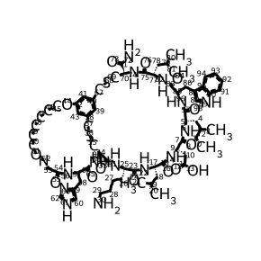 CCC(C)C[C@@H]1NC(=O)[C@H](CC(=O)O)NC(=O)[C@H](CC(C)C)NC(=O)[C@H](CCCCN)NC(=O)[C@@H]2CSCc3cc(cc(c3)OCCCCCCO/N=C/C(=O)NC(Cc3c[nH]cn3)C(=O)N2)CSC[C@@H](C(N)=O)NC(=O)[C@H](CC(C)C)NC(=O)C(Cc2c[nH]c3ccccc23)NC1=O